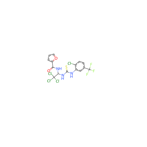 O=C(NC(NC(=S)Nc1cc(C(F)(F)F)ccc1Cl)C(Cl)(Cl)Cl)c1ccco1